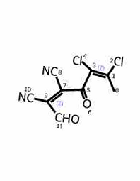 C/C(Cl)=C(/Cl)C(=O)/C(C#N)=C(/C#N)C=O